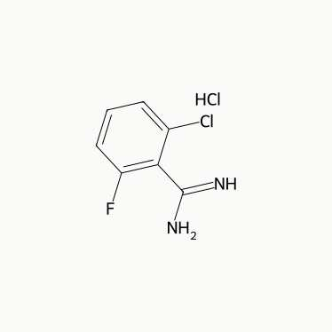 Cl.N=C(N)c1c(F)cccc1Cl